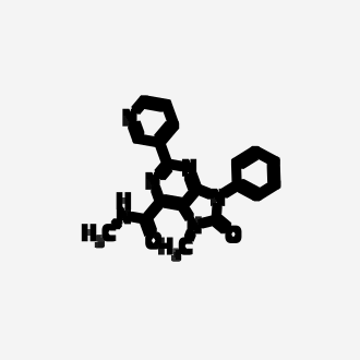 CNC(=O)c1nc(-c2cccnc2)nc2c1n(C)c(=O)n2-c1ccccc1